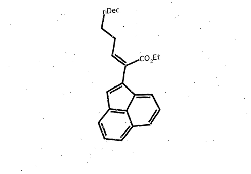 CCCCCCCCCCCCC=C(C(=O)OCC)C1=Cc2cccc3cccc1c23